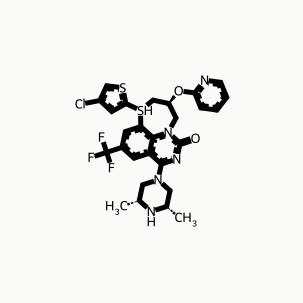 C[C@@H]1CN(c2nc(=O)n3c4c(cc(C(F)(F)F)cc24)[SH](c2cc(Cl)cs2)C[C@@H](Oc2ccccn2)C3)C[C@H](C)N1